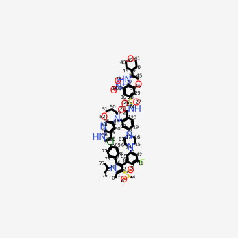 Cc1c(S(C)(=O)=O)c(-c2cc(F)cc(N3CCN(c4ccc(C(=O)NS(=O)(=O)c5cc6c(c([N+](=O)[O-])c5)NC(C5CCOCC5)CO6)c(N5CCCOc6nc7[nH]ccc7cc65)c4)CC3)c2)c(-c2ccc(Cl)cc2)n1C(C)C